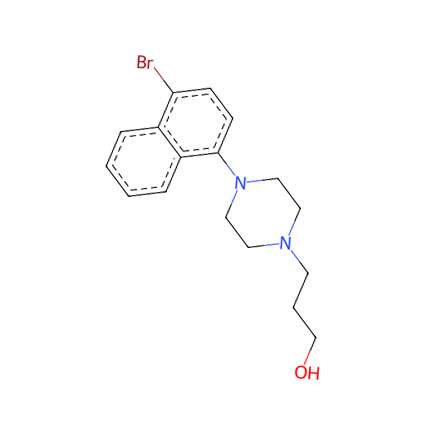 OCCCN1CCN(c2ccc(Br)c3ccccc23)CC1